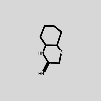 N=C1CSC2CCCCC2N1